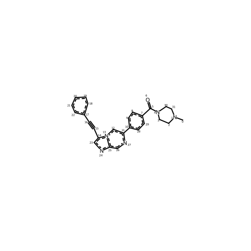 CN1CCN(C(=O)c2ccc(-c3cn4c(C#Cc5ccccc5)cnc4cn3)cc2)CC1